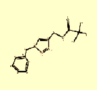 CC(C)(C)C(=O)OCc1cn(Cc2ccccc2)nn1